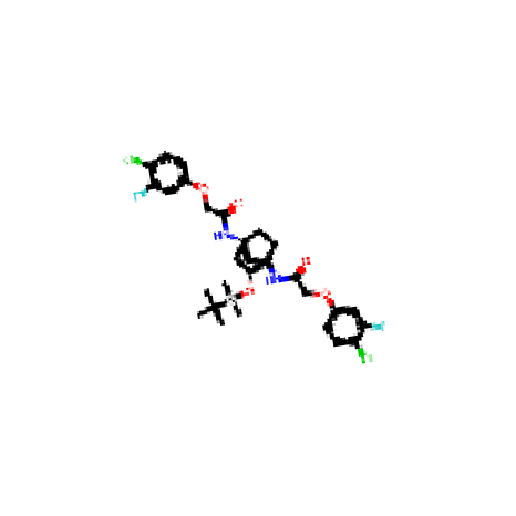 CC(C)(C)[Si](C)(C)O[C@@H]1C[C@]2(NC(=O)COc3ccc(Cl)c(F)c3)CCC1(NC(=O)COc1ccc(Cl)c(F)c1)C2